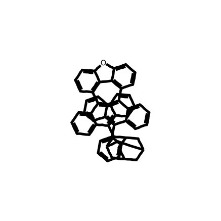 c1ccc(-c2c3ccccc3c(-c3cccc4oc5cccc(-c6c7ccccc7c(C7C8CC9CC(C8)CC7C9)c7ccccc67)c5c34)c3ccccc23)cc1